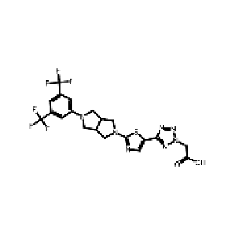 O=C(O)Cn1nnc(-c2cnc(N3CC4CN(c5cc(C(F)(F)F)cc(C(F)(F)F)c5)CC4C3)s2)n1